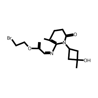 C=C(/C=N\C1=C(C)CCC(=O)N1C1CC(C)(O)C1)OCCBr